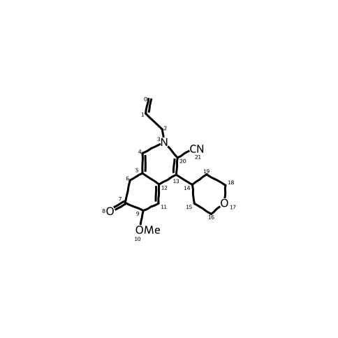 C=CCN1C=C2CC(=O)C(OC)C=C2C(C2CCOCC2)=C1C#N